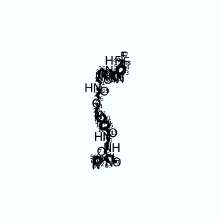 CN1C(=O)C[C@H](C(=O)NCCNC(=O)C2CCC3(CC2)CCN(CCOCCC(=O)NCCN2CC[C@H](Nc4ncnc5ccc(C(F)(F)F)cc45)C2=O)CC3)[C@H]1c1cccnc1